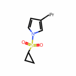 CC(C)c1ccn(S(=O)(=O)C2CC2)c1